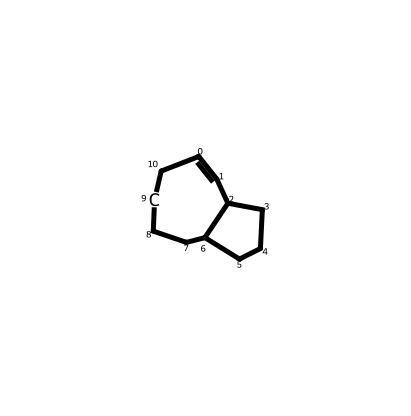 C1=C\[C]2CCCC2CCCC/1